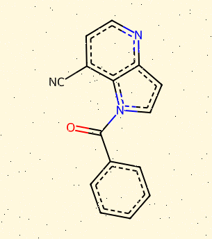 N#Cc1ccnc2ccn(C(=O)c3ccccc3)c12